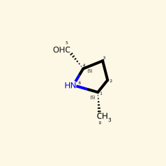 C[C@H]1CC[C@@H](C=O)N1